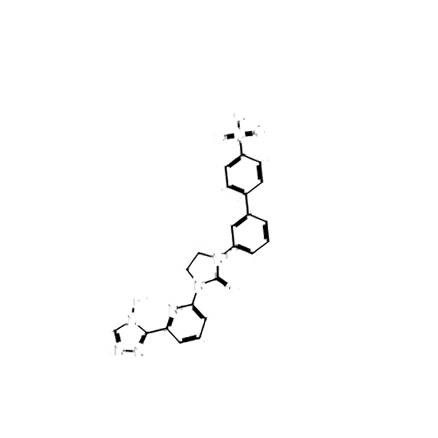 CC(C)n1cnnc1-c1cccc(N2CCN(c3cccc(-c4ccc(S(C)(=O)=O)cc4)c3)C2=O)n1